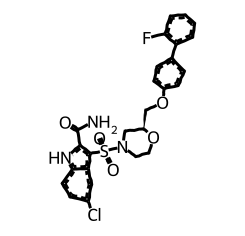 NC(=O)c1[nH]c2ccc(Cl)cc2c1S(=O)(=O)N1CCO[C@H](COc2ccc(-c3ccccc3F)cc2)C1